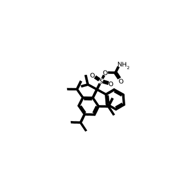 CC(C)c1cc(C(C)C)c(C(c2ccccc2)(C(C)C)S(=O)(=O)OC(N)=O)c(C(C)C)c1